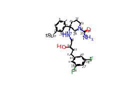 CC(C)(C)c1cccc(C2(NCC(O)CCc3cc(F)cc(F)c3)CCCN(C(N)=O)C2)c1